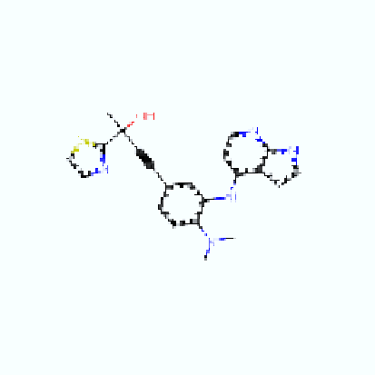 CN(C)c1ccc(C#CC(C)(O)c2nccs2)cc1Nc1ccnc2[nH]ccc12